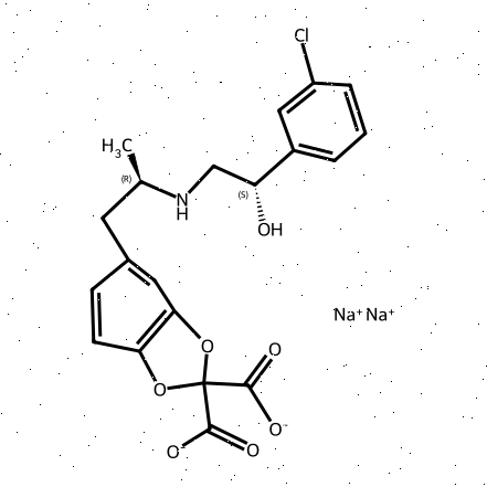 C[C@H](Cc1ccc2c(c1)OC(C(=O)[O-])(C(=O)[O-])O2)NC[C@@H](O)c1cccc(Cl)c1.[Na+].[Na+]